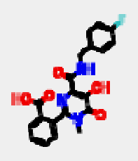 Cn1c(-c2ccccc2C(=O)O)nc(C(=O)NCc2ccc(F)cc2)c(O)c1=O